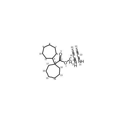 COC(=O)C1(C2CCCCCC2)CCCCCC1.N=C=S.N=C=S